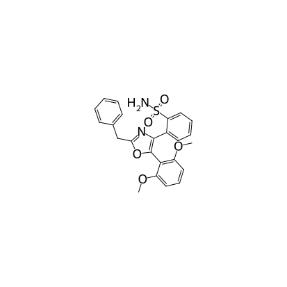 COc1cccc(OC)c1-c1oc(Cc2ccccc2)nc1-c1ccccc1S(N)(=O)=O